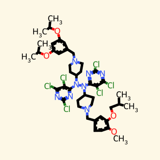 COc1ccc(CN2CCC(N(c3nc(Cl)nc(Cl)c3Cl)N(c3nc(Cl)nc(Cl)c3Cl)C3CCN(Cc4cc(OC(C)C)cc(OC(C)C)c4)CC3)CC2)cc1OCC(C)C